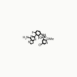 COc1ncc(Cl)cc1S(=O)(=O)Nc1ccc(F)c(-c2nc(N)c3c(n2)CC=N3)c1F